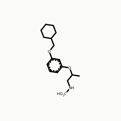 CC(CNC(=O)O)Oc1cccc(OCC2CCCCC2)c1